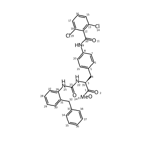 COC(=O)[C@H](Cc1ccc(NC(=O)c2c(Cl)cccc2Cl)cc1)NC(=O)Nc1ccccc1Cc1ccccc1